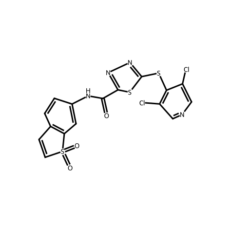 O=C(Nc1ccc2c(c1)S(=O)(=O)C=C2)c1nnc(Sc2c(Cl)cncc2Cl)s1